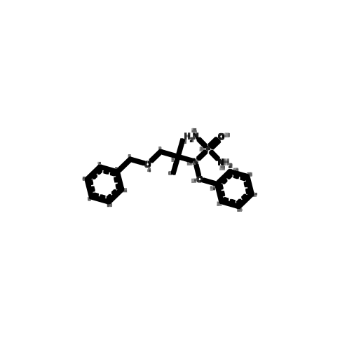 CC(C)(COCc1ccccc1)N(Oc1ccccc1)P(N)(N)=O